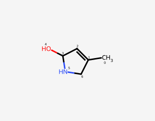 CC1=CC(O)NC1